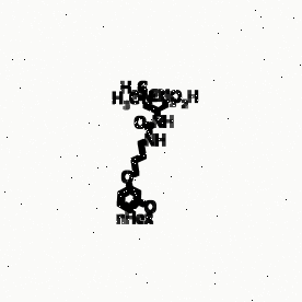 CCCCCCOc1cccc(OCCCCNC(=O)N[C@H](CC(=O)O)C[N+](C)(C)C)c1